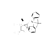 B[C@@H]1O[C@@H]2C(O[Si](c3ccccc3)(c3ccccc3)C(C)(C)C)[C@]2(C#C)[C@H]1O